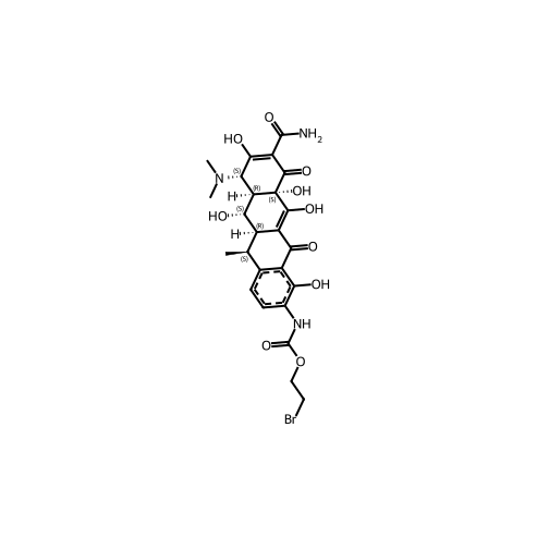 C[C@@H]1c2ccc(NC(=O)OCCBr)c(O)c2C(=O)C2=C(O)[C@]3(O)C(=O)C(C(N)=O)=C(O)[C@@H](N(C)C)[C@@H]3[C@@H](O)[C@@H]21